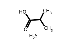 CC(C)C(=O)O.S